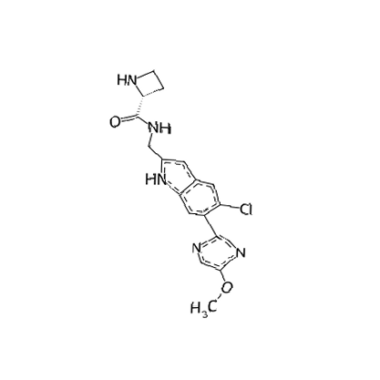 COc1cnc(-c2cc3[nH]c(CNC(=O)[C@H]4CCN4)cc3cc2Cl)cn1